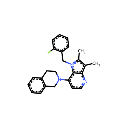 Cc1c(C)n(Cc2ccccc2F)c2c(N3CCc4ccccc4C3)ccnc12